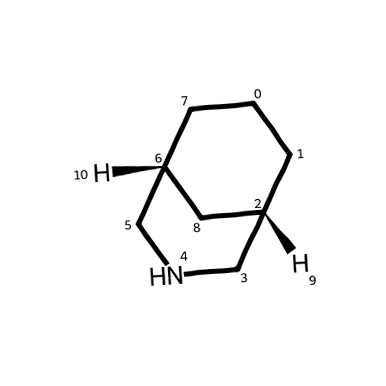 C1C[C@@H]2CNC[C@H](C1)C2